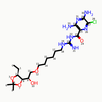 CC[C@@H]1OC(C)(C)O[C@@H]1[C@H](O)COCCCCCCNC(=N)NC(=O)c1nc(Cl)c(N)nc1N